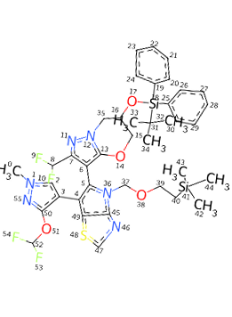 Cn1cc(-c2c(-c3c(C(F)F)nn4c3OCC(O[Si](c3ccccc3)(c3ccccc3)C(C)(C)C)C4)n(COCC[Si](C)(C)C)c3ncsc23)c(OC(F)F)n1